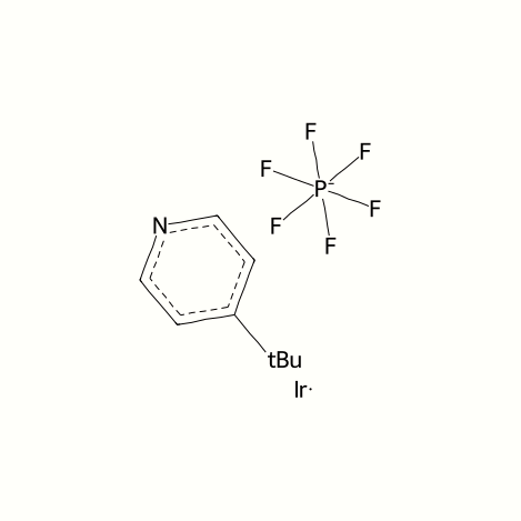 CC(C)(C)c1ccncc1.F[P-](F)(F)(F)(F)F.[Ir]